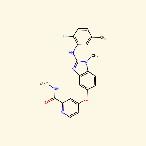 CONC(=O)c1cc(Oc2ccc3c(c2)nc(Nc2cc(C(F)(F)F)ccc2F)n3C)ccn1